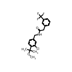 COC(C)(C)c1ccc(CNC(=O)Cc2cccc(C(F)(F)F)c2)cc1Cl